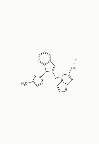 CC1=PC2=CC=CC2=C1.Cc1ccc(C2[C]([Zr+2])=Cc3ccccc32)s1.[Cl-].[Cl-]